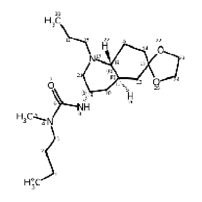 CCCCN(C)C(=O)N[C@H]1C[C@@H]2CC3(CC[C@H]2N(CCC)C1)OCCO3